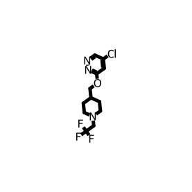 FC(F)(F)CN1CCC(COc2cc(Cl)cnn2)CC1